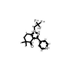 CC1(C)CCc2c(c(-c3ccncc3)nn2CC(F)(F)F)C1=O